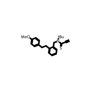 C#CC(=S)N(Cc1ccccc1CCc1ccc(OC)cc1)C(C)(C)C